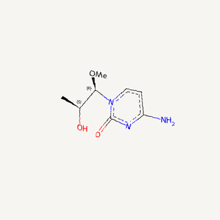 CO[C@H]([C@H](C)O)n1ccc(N)nc1=O